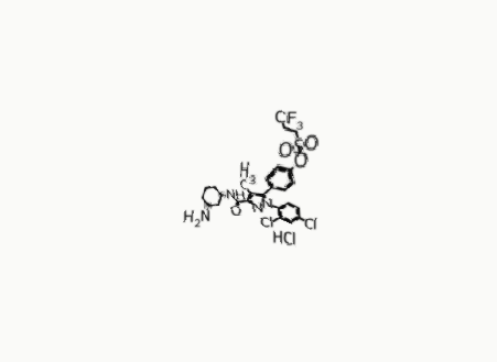 Cc1c(C(=O)N[C@H]2CCC[C@@H](N)C2)nn(-c2ccc(Cl)cc2Cl)c1-c1ccc(OS(=O)(=O)CCC(F)(F)F)cc1.Cl